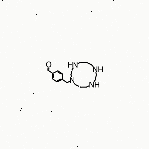 O=Cc1ccc(CN2CCCNCCNCCCNCC2)cc1